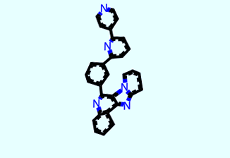 c1cc(-c2cccc(-c3ccncc3)n2)cc(-c2nc3ccccc3c3nc4ccccn4c23)c1